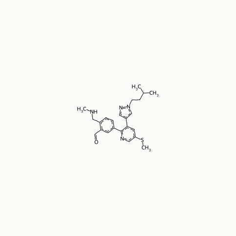 CNCc1ccc(-c2ncc(SC)cc2-c2cnn(CCC(C)C)c2)cc1C=O